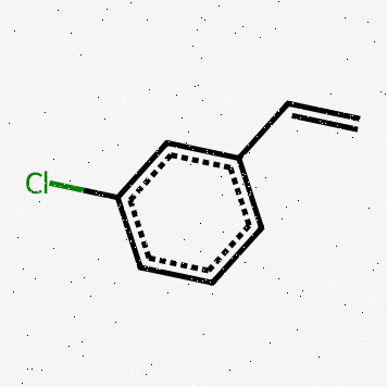 C=Cc1cccc(Cl)c1